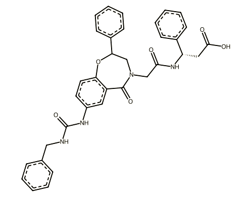 O=C(O)C[C@H](NC(=O)CN1CC(c2ccccc2)Oc2ccc(NC(=O)NCc3ccccc3)cc2C1=O)c1ccccc1